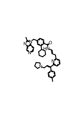 Cc1ccc(C(=CCN2CCCC2)c2cccc(CC=CNC(=O)c3ccc(Cn4c(C)nc5cnccc54)cc3C3CCCCC3)n2)cc1